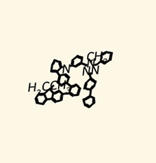 CN1C(c2ccccc2)=NC(c2ccc(-c3ccccc3)cc2)=NC1c1cccc(-n2c3ccccc3c3ccc(-c4ccccc4-c4ccc5c(c4)C(C)(C)c4ccccc4-5)cc32)c1